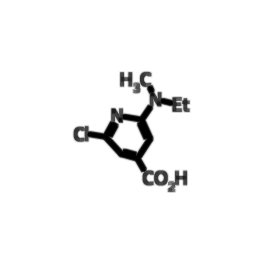 CCN(C)c1cc(C(=O)O)cc(Cl)n1